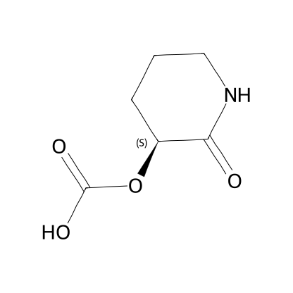 O=C(O)O[C@H]1CCCNC1=O